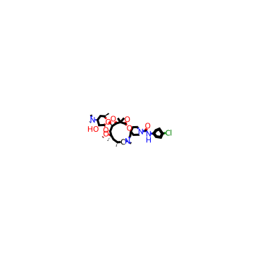 CO[C@]1(C)C[C@@H](C)CN(C)CC2(CCN(C(=O)Nc3ccc(Cl)cc3)CC2)OC(=O)C(C)(C)C(=O)[C@H](C)[C@H]1O[C@@H]1O[C@H](C)C[C@H](N(C)C)[C@H]1O